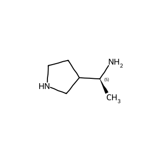 C[C@H](N)C1CCNC1